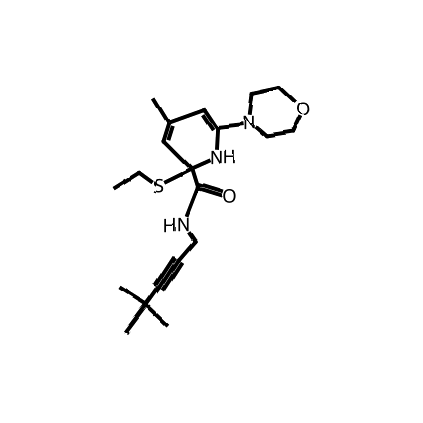 CCSC1(C(=O)NCC#CC(C)(C)C)C=C(C)C=C(N2CCOCC2)N1